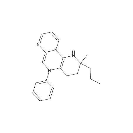 CCCC1(C)CCC2=C(N1)N1C=CC=NC1=CN2c1ccccc1